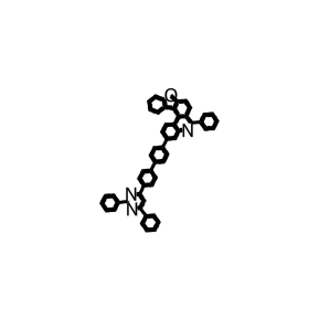 c1ccc(-c2cc(-c3ccc(-c4ccc(-c5ccc6c(c5)nc(-c5ccccc5)c5ccc7oc8ccccc8c7c56)cc4)cc3)nc(-c3ccccc3)n2)cc1